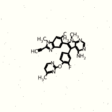 C#Cc1nc2cc(-c3c(-c4ccc(Oc5nccc(C)n5)c(F)c4)c4c(N)ncnc4n3C)c(C)cc2n1C